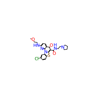 COCCNc1ccc2c(=O)c(C(=O)NCCN3CCCC3)c3sc4ccc(Cl)cc4n3c2n1